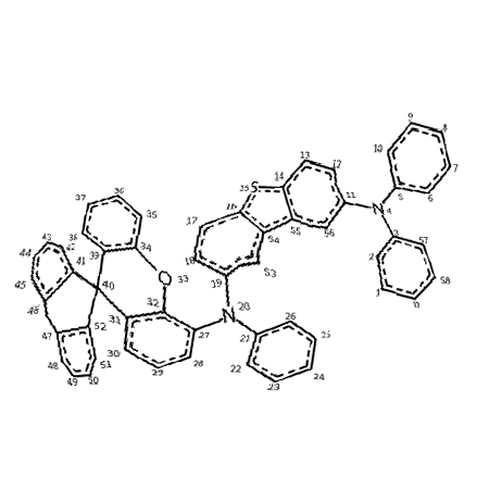 c1ccc(N(c2ccccc2)c2ccc3sc4ccc(N(c5ccccc5)c5cccc6c5Oc5ccccc5C65c6ccccc6-c6ccccc65)cc4c3c2)cc1